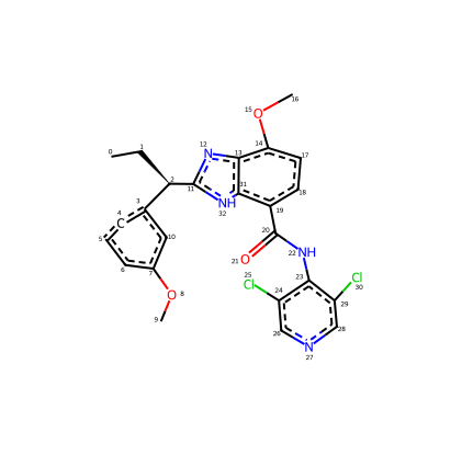 CC[C@H](c1cccc(OC)c1)c1nc2c(OC)ccc(C(=O)Nc3c(Cl)cncc3Cl)c2[nH]1